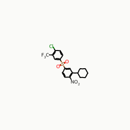 O=[N+]([O-])c1ccc(S(=O)(=O)c2ccc(Cl)c(C(F)(F)F)c2)cc1C1CCCCC1